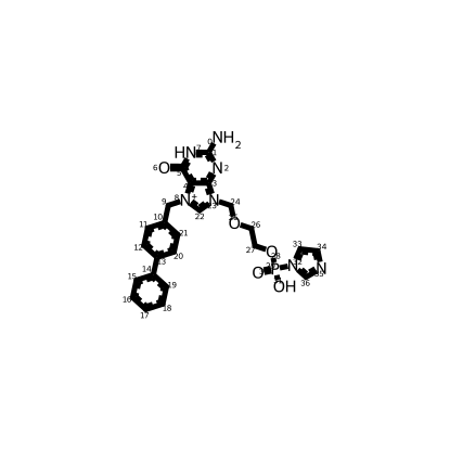 Nc1nc2c(c(=O)[nH]1)[n+](Cc1ccc(-c3ccccc3)cc1)cn2COCCOP(=O)(O)n1ccnc1